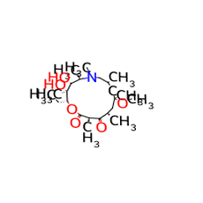 CC[C@H]1OC(=O)[C@H](C)C(=O)[C@H](C)C[C@](C)(OC)C[C@@H](C)CN(C)[C@H](C)[C@@H](O)[C@]1(C)O